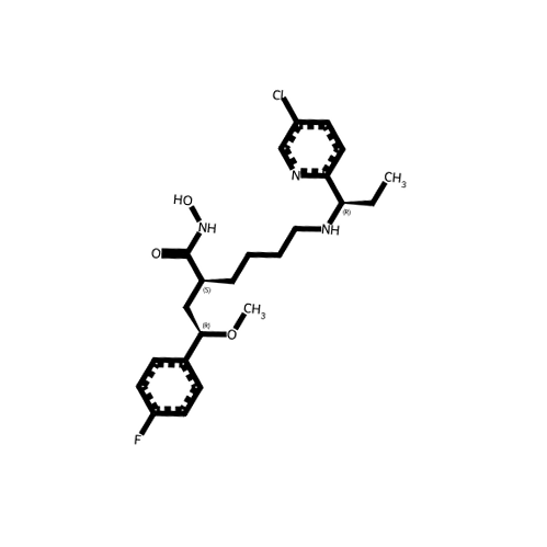 CC[C@@H](NCCCC[C@@H](C[C@@H](OC)c1ccc(F)cc1)C(=O)NO)c1ccc(Cl)cn1